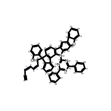 C#C/C=C\C=C/CC1(c2ccccc2O)c2ccccc2-c2c1ccc1c3cc4c(cc3n(-c3nc(-c5ccccc5)nc(-c5ccccc5)n3)c21)oc1ccccc14